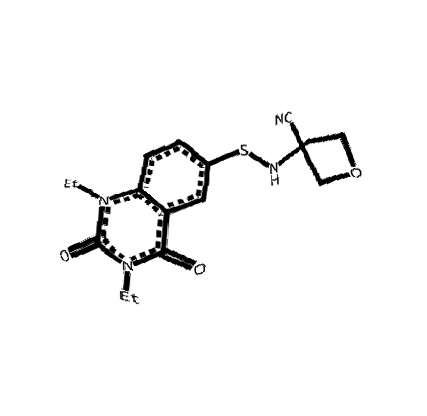 CCn1c(=O)c2cc(SNC3(C#N)COC3)ccc2n(CC)c1=O